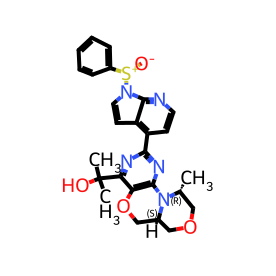 C[C@@H]1COC[C@H]2COc3c(nc(-c4ccnc5c4ccn5[S+]([O-])c4ccccc4)nc3C(C)(C)O)N21